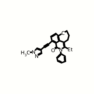 CCc1c2c3c(ccc(C#Cc4cnn(C)c4)c3c(=O)n1-c1ccccc1)CCCC2